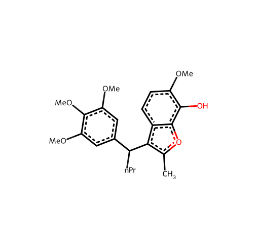 CCCC(c1cc(OC)c(OC)c(OC)c1)c1c(C)oc2c(O)c(OC)ccc12